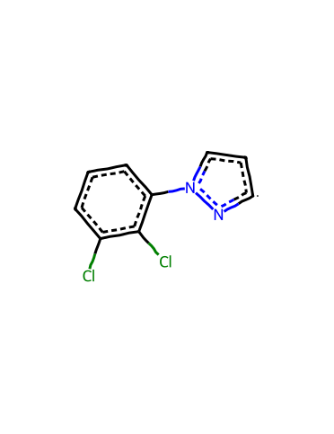 Clc1cccc(-n2cc[c]n2)c1Cl